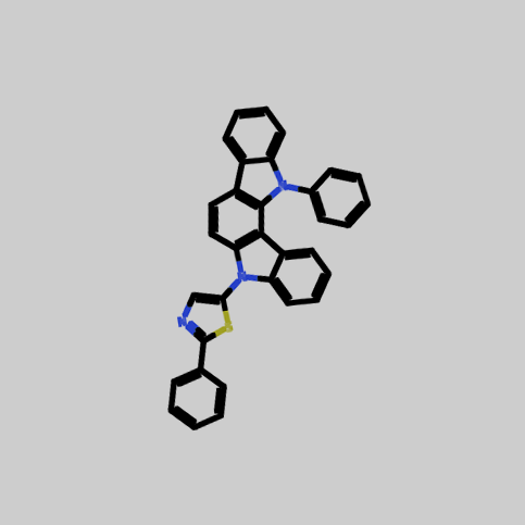 c1ccc(-c2ncc(-n3c4ccccc4c4c3ccc3c5ccccc5n(-c5ccccc5)c34)s2)cc1